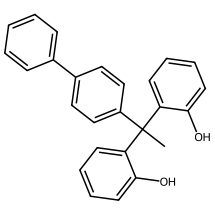 CC(c1ccc(-c2ccccc2)cc1)(c1ccccc1O)c1ccccc1O